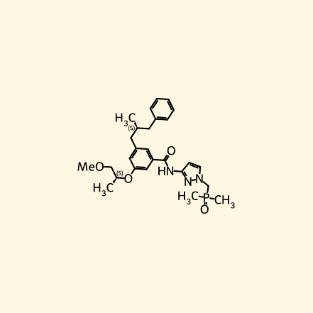 COC[C@H](C)Oc1cc(C[C@@H](C)Cc2ccccc2)cc(C(=O)Nc2ccn(CP(C)(C)=O)n2)c1